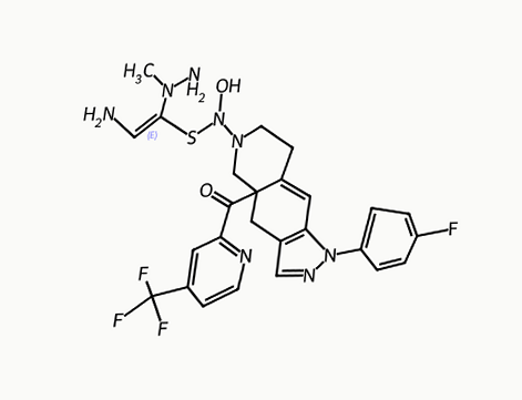 CN(N)/C(=C\N)SN(O)N1CCC2=Cc3c(cnn3-c3ccc(F)cc3)CC2(C(=O)c2cc(C(F)(F)F)ccn2)C1